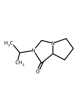 CC(C)N1CN2CCCC2C1=O